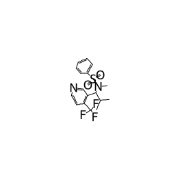 CC(C)C(c1cnccc1C(F)(F)F)N(C)S(=O)(=O)c1ccccc1